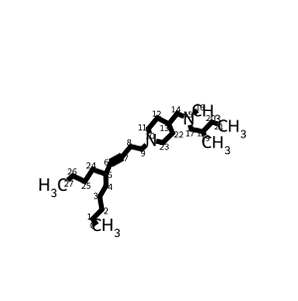 CCCCCC(C#CCCN1CCC(CN(C)CC(C)CC)CC1)CCCC